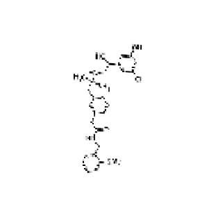 CSc1ccccc1CNC(=O)Cc1cccc(CC(C)(C)NCC(O)c2cc(O)cc(O)c2)c1